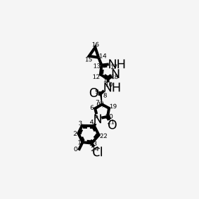 Cc1ccc(N2C[C@@H](C(=O)Nc3cc(C4CC4)[nH]n3)CC2=O)cc1Cl